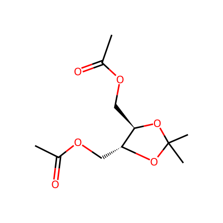 CC(=O)OC[C@H]1OC(C)(C)O[C@@H]1COC(C)=O